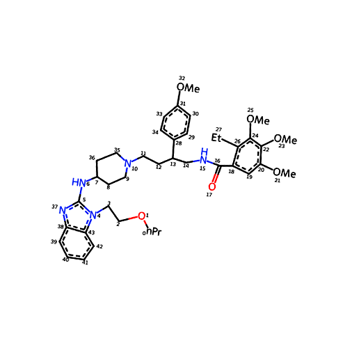 CCCOCCn1c(NC2CCN(CCC(CNC(=O)c3cc(OC)c(OC)c(OC)c3CC)c3ccc(OC)cc3)CC2)nc2ccccc21